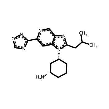 CC(C)Cc1nc2cnc(-c3ncon3)cc2n1[C@@H]1CCC[C@H](N)C1